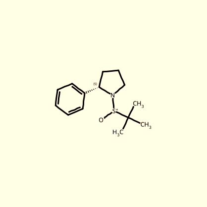 CC(C)(C)[S+]([O-])N1CCC[C@H]1c1ccccc1